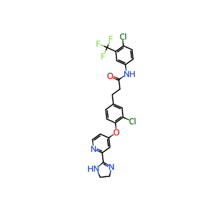 O=C(CCc1ccc(Oc2ccnc(C3=NCCN3)c2)c(Cl)c1)Nc1ccc(Cl)c(C(F)(F)F)c1